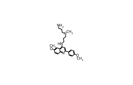 COc1ccc(-c2cc(NCCCN(C)CCCN)c3cc(OC)ccc3n2)cc1